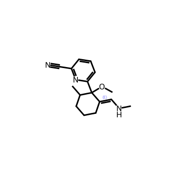 CN/C=C1\CCCC(C)C1(OC)c1cccc(C#N)n1